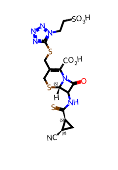 N#C[C@@H]1C[C@@H]1C(=S)NC1C(=O)N2C(C(=O)O)=C(CSc3nnnn3CCS(=O)(=O)O)CS[C@@H]12